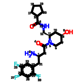 N[C@@H](CC(=O)N1CC[C@@H](O)C[C@H]1CNC(=O)C1CCCC1)Cc1cc(F)c(F)cc1F